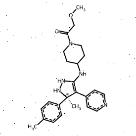 COCC(=O)N1CCC(NC2=C(c3ccncc3)[C@@](C)(c3ccc(C)cc3)NN2)CC1